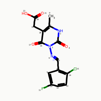 Cc1[nH]c(=O)n(/N=C/c2cc(F)ccc2Cl)c(=O)c1CC(=O)O